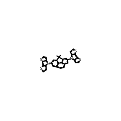 CC1(C)c2cc(-n3c4ccsc4c4sccc43)cc3ccc4cc(-n5c6ccsc6c6sccc65)cc1c4c23